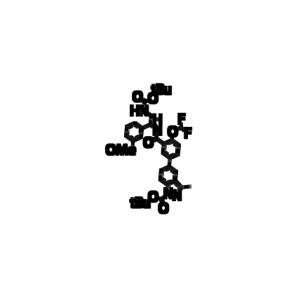 COc1cccc(C(CNC(=O)OC(C)(C)C)NC(=O)c2cc(-c3ccc4c(c3)c(C)nn4C(=O)OC(C)(C)C)ccc2OC(F)F)c1